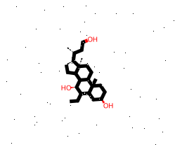 CCC1C2C[C@H](O)CCC2(C)C2CC[C@@]3(C)C(CC[C@@H]3[C@H](C)CCO)C2[C@H]1O